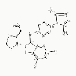 COC[C@@H]1CCCN1[C@H]1Cc2c(Cl)cc(Cl)cc2[C@@H]1Oc1ccc(-n2c(C)nnc2C)cc1